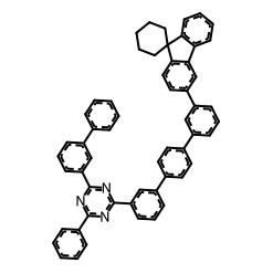 c1ccc(-c2cccc(-c3nc(-c4ccccc4)nc(-c4cccc(-c5ccc(-c6cccc(-c7ccc8c(c7)-c7ccccc7C87CCCCC7)c6)cc5)c4)n3)c2)cc1